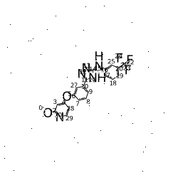 COc1cc(Oc2cccc(-c3nnc(Nc4cccc(C(F)(F)F)c4)[nH]3)c2)ccn1